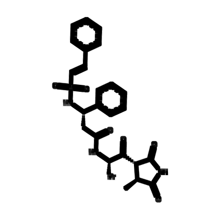 CC(C)[C@H](NC(=O)C[C@H](NS(=O)(=O)C=Cc1ccccc1)c1ccccc1)C(=O)[C@@H]1C(=O)NC(=O)[C@H]1C